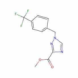 COC(=O)c1ncn(Cc2ccc(C(F)(F)F)cc2)n1